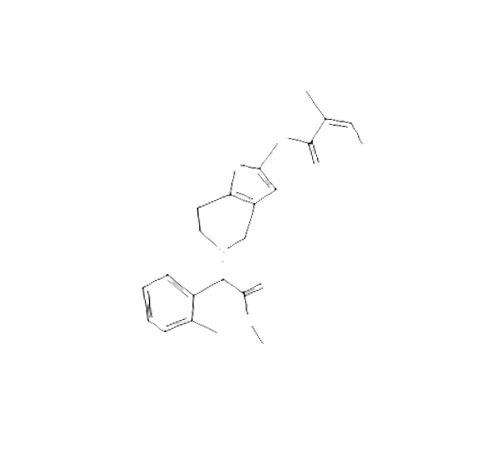 C/C=C(/C)C(=O)Oc1cc2c(s1)CCN([C@H](C(=O)OC)c1ccccc1Cl)C2